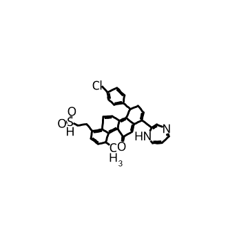 CC1C=CC(CC[SH](=O)=O)=c2ccc3c(c21)C(=O)C=C1C(C2=CN=CC=CN2)=CCC(c2ccc(Cl)cc2)C=31